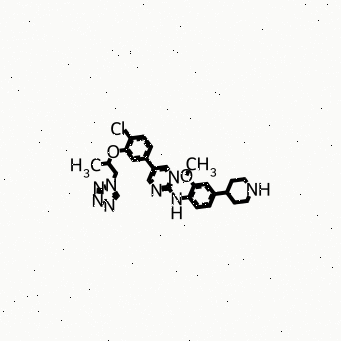 COc1cc(C2CCNCC2)ccc1Nc1ncc(-c2ccc(Cl)c(OC(C)Cn3cnnn3)c2)cn1